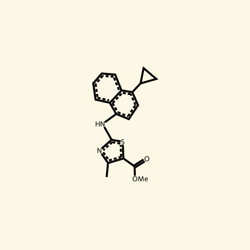 COC(=O)c1sc(Nc2ccc(C3CC3)c3ccccc23)nc1C